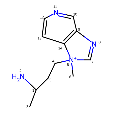 CC(N)CC[N+]1(C)C=Nc2cnccc21